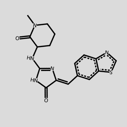 CN1CCCC(NC2=N/C(=C\c3ccc4ncsc4c3)C(=O)N2)C1=O